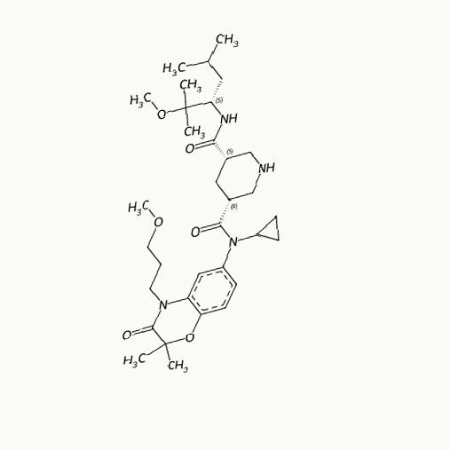 COCCCN1C(=O)C(C)(C)Oc2ccc(N(C(=O)[C@H]3CNC[C@@H](C(=O)N[C@@H](CC(C)C)C(C)(C)OC)C3)C3CC3)cc21